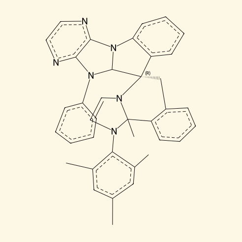 Cc1cc(C)c(N2C=CN3C2(C)c2ccccc2C[C@]32c3ccccc3N3c4nccnc4N(c4ccccc4)C32)c(C)c1